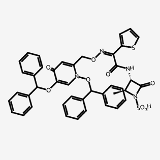 C[C@H]1[C@H](NC(=O)/C(=N\OCc2cc(=O)c(OC(c3ccccc3)c3ccccc3)cn2OC(c2ccccc2)c2ccccc2)c2cccs2)C(=O)N1S(=O)(=O)O